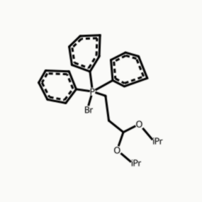 CC(C)OC(CCP(Br)(c1ccccc1)(c1ccccc1)c1ccccc1)OC(C)C